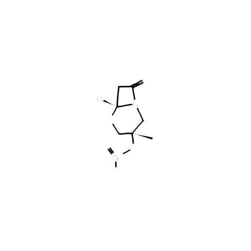 C[C@@]1(O[N+](=O)[O-])CS[C@@H]2CC(=O)N2C1